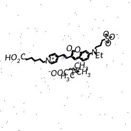 CCN(CCCS(=O)(=O)[O-])c1ccc2cc(/C=C/c3cc[n+](CCCCCC(=O)O)cc3)c(=O)oc2c1.C[N+](C)(C)CC(=O)[O-]